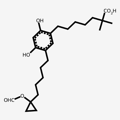 CC(C)(CCCCCc1cc(CCCCCC2(OC=O)CC2)c(O)cc1O)C(=O)O